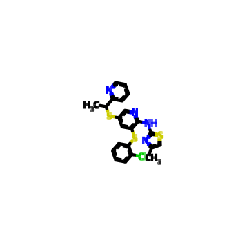 Cc1csc(Nc2ncc(SC(C)c3ccccn3)cc2Sc2ccccc2Cl)n1